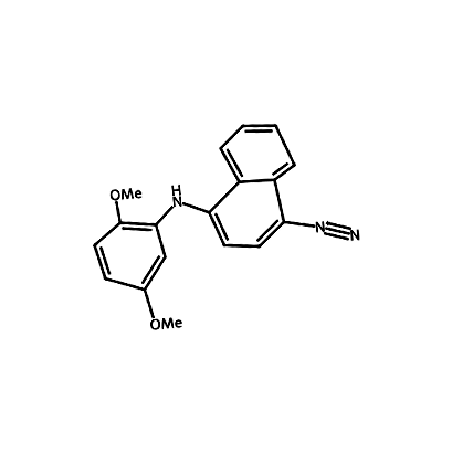 COc1ccc(OC)c(Nc2ccc([N+]#N)c3ccccc23)c1